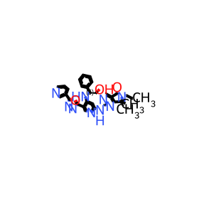 CCCN1C(=O)c2cnc(Nc3cc(N[C@H](CO)c4ccccc4)c(-c4nnc(-c5cccnc5)o4)cn3)nc2C1(C)C